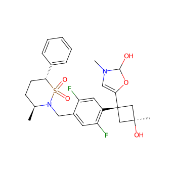 C[C@H]1CC[C@H](c2ccccc2)S(=O)(=O)N1Cc1cc(F)c([C@]2(C3=CN(C)C(O)O3)C[C@](C)(O)C2)cc1F